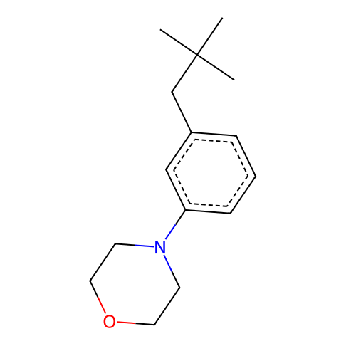 CC(C)(C)Cc1cccc(N2CCOCC2)c1